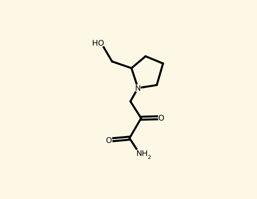 NC(=O)C(=O)CN1CCCC1CO